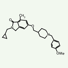 COc1ccc(CN2CCC(COc3cc(C)c4c(c3)CN(CC3CC3)C4=O)CC2)cc1